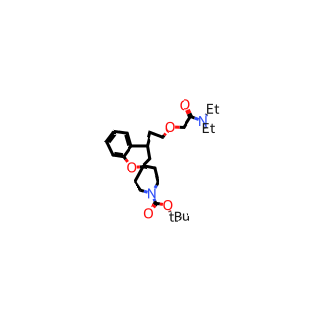 CCN(CC)C(=O)COCCC1CC2(CCN(C(=O)OC(C)(C)C)CC2)Oc2ccccc21